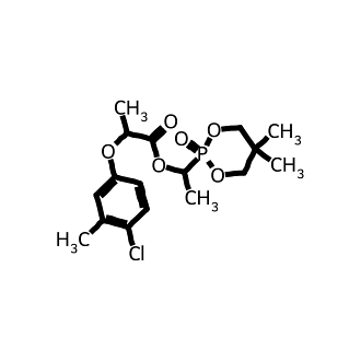 Cc1cc(OC(C)C(=O)OC(C)P2(=O)OCC(C)(C)CO2)ccc1Cl